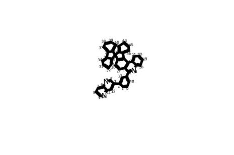 c1cc(-c2cnc3cccnc3c2)cc(-c2nc3ccccc3c3c4c(ccc23)C2(c3ccccc3-c3ccccc32)c2ccccc2-4)c1